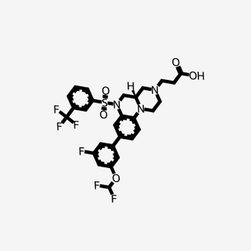 O=C(O)CCN1CCN2c3ccc(-c4cc(F)cc(OC(F)F)c4)cc3N(S(=O)(=O)c3cccc(C(F)(F)F)c3)C[C@@H]2C1